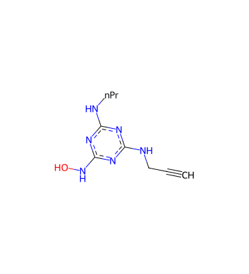 C#CCNc1nc(NO)nc(NCCC)n1